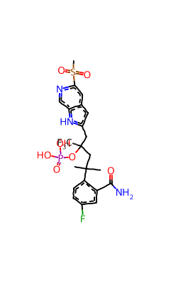 CC(C)(CC(Cc1cc2cc(S(C)(=O)=O)ncc2[nH]1)(OP(=O)(O)O)C(F)(F)F)c1ccc(F)cc1C(N)=O